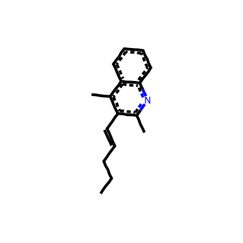 CCCC=Cc1c(C)nc2ccccc2c1C